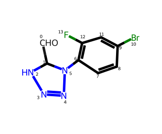 O=CC1NN=NN1c1ccc(Br)cc1F